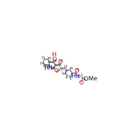 COC(=O)CNC(=O)c1cccc(/C=C/C(=O)c2c(O)c3ccccc3[nH]c2=O)c1